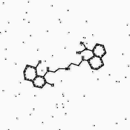 CC(=O)N(O)c1cccc2cccc(NCCNCCNc3c(Cl)ccc4cccc(Cl)c34)c12